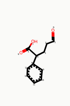 O=[C]CCC(C(=O)O)c1ccccc1